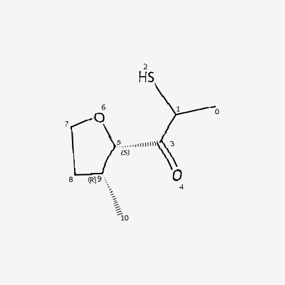 CC(S)C(=O)[C@H]1OCC[C@H]1C